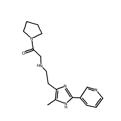 Cc1[nH]c(-c2cccnc2)nc1CCNCC(=O)N1CCCC1